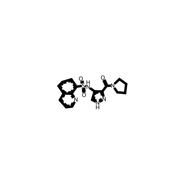 O=C(c1n[nH]cc1NS(=O)(=O)c1cccc2cccnc12)N1CCCC1